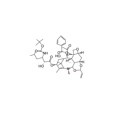 C=CC1O[C@H]2C[C@H]3OC[C@@]3(OC(C)=O)[C@H]3[C@H](OC(=O)c4ccccc4)[C@]4(O)C[C@H](OC(=O)[C@H](O)C(CC(C)C)NC(=O)OC(C)(C)C)C(C)=C([C@H](C)[C@H](O1)[C@]23C)C4(C)C